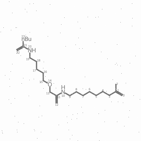 C=C(C)CCCCCCCNC(=C)COCCCCCNC(=C)CCCC